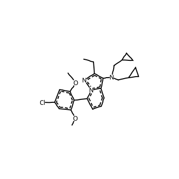 CCc1nn2c(-c3c(OC)cc(Cl)cc3OC)cccc2c1N(CC1CC1)CC1CC1